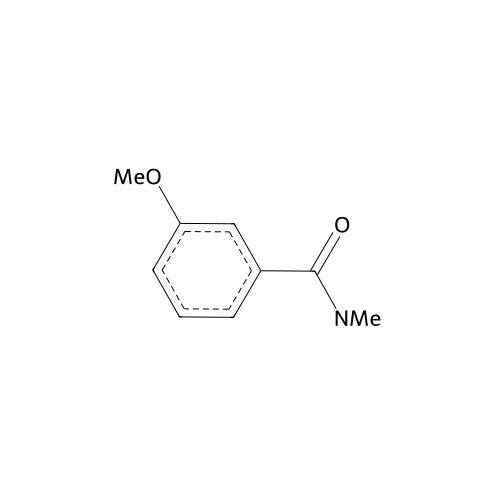 CNC(=O)c1cccc(OC)c1